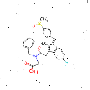 CC1=C(CC(=O)N(CC(=O)O)Cc2ccccc2)c2cc(F)ccc2C1=Cc1ccc([S+](C)[O-])cc1